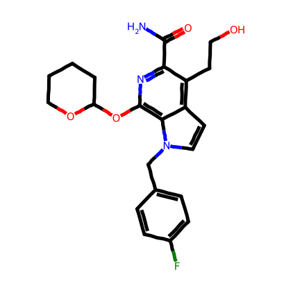 NC(=O)c1nc(OC2CCCCO2)c2c(ccn2Cc2ccc(F)cc2)c1CCO